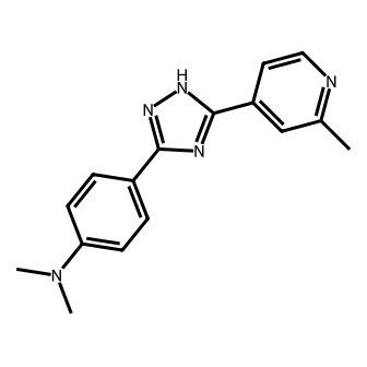 Cc1cc(-c2nc(-c3ccc(N(C)C)cc3)n[nH]2)ccn1